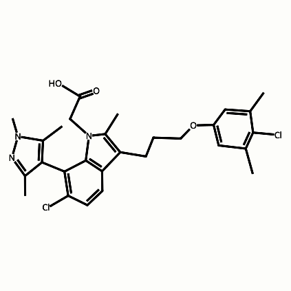 Cc1cc(OCCCc2c(C)n(CC(=O)O)c3c(-c4c(C)nn(C)c4C)c(Cl)ccc23)cc(C)c1Cl